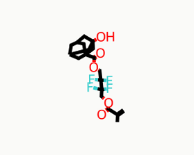 C=C(C)C(=O)OCC(F)(F)C(F)(F)COC(=O)C12CC3CC(CC(O)(C3)C1)C2